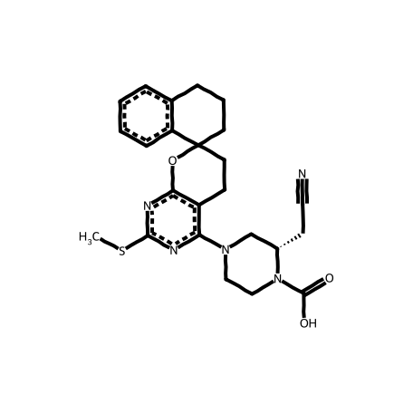 CSc1nc2c(c(N3CCN(C(=O)O)[C@@H](CC#N)C3)n1)CCC1(CCCc3ccccc31)O2